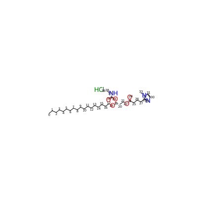 CCCCCCCCCCCCCCCCCCO[C@@H](CCOC(=O)CCCc1nccn1C)OC(=O)NC.Cl